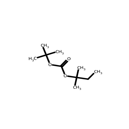 CCC(C)(C)OC(=O)OC(C)(C)C